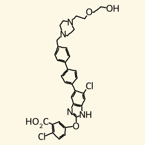 O=C(O)c1cc(Oc2nc3cc(-c4ccc(-c5ccc(CN6CCN(CCOCCO)CC6)cc5)cc4)c(Cl)cc3[nH]2)ccc1Cl